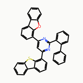 c1ccc(-c2ccccc2-c2nc(-c3cccc4c3oc3ccccc34)cc(-c3cccc4c3sc3ccccc34)n2)cc1